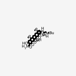 CN(C)c1cc(NC(=O)CNC(C)(C)C)c(O)c2c1CC1CC3[C@H](N(C)C)C4CC(O)=C(C(N)=O)C(=O)C4C(=O)[C@@]3(O)C(O)=C1C2=O